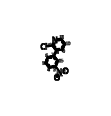 O=[N+]([O-])c1cccc(-c2[c]ccnc2Cl)c1